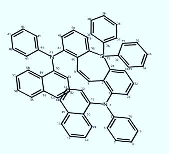 C1=Cc2c(N(c3ccccc3)c3cccc4ccccc34)cccc2[Si](c2ccccc2)(c2ccccc2)c2cccc(N(c3ccccc3)c3cccc4ccccc34)c21